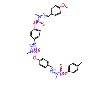 COc1ccc(/C=N/N(C)[PH](=S)Oc2ccc(/C=N/N(C)[PH](=S)Oc3ccc(/C=N/N(C)[PH](=S)Oc4ccc(C)cc4)cc3)cc2)cc1